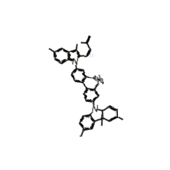 C=C(C)/C=C\c1c(C)c2cc(C)ccc2n1-c1ccc(-c2ccc(N3c4ccc(C)cc4C4(C)C=C(C)C=CC34)cc2C#N)c(C#N)c1